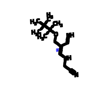 CC(C)(C)[Si](C)(C)OC/C(C=N)=C/NCC#N